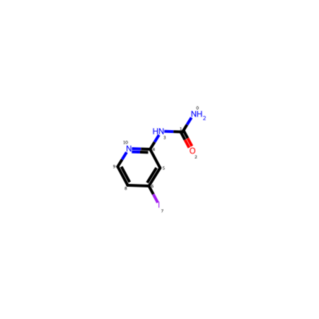 NC(=O)Nc1cc(I)ccn1